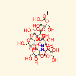 CCO[C@@H]1OC(CO)[C@@H](O[C@@H]2OC(CO)[C@H](O[C@H]3OC(CO)[C@H](O)[C@H](O[C@@H]4OC(CO)[C@H](O)[C@H](O[C@@H]5OC(CO)[C@H](O)[C@H](O)C5O[C@@H]5OC(C)[C@@H](O)C(O)[C@@H]5O)C4NC(C)=O)C3O)[C@H](O)C2O)[C@H](O)C1O